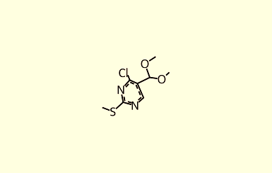 COC(OC)c1cnc(SC)nc1Cl